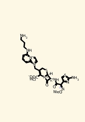 CO/N=C(\C(=O)N[C@@H]1C(=O)N2C(C(=O)[O-])=C(Cn3cc[n+]4c(NCCCN)cccc34)CS[C@@H]12)c1csc(N)n1.Cl